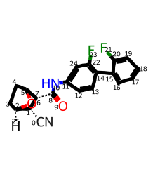 N#C[C@@H]1[C@H]2CCC(O2)[C@@H]1C(=O)Nc1ccc(-c2ccccc2F)c(F)c1